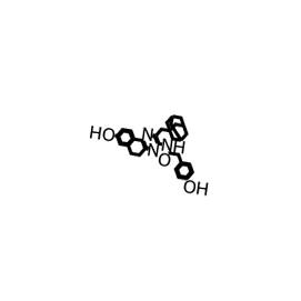 O=C(Cc1ccc(O)cc1)Nc1nc2c(nc1CC13CC4CC(CC(C4)C1)C3)-c1ccc(O)cc1CC2